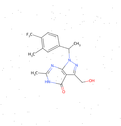 Cc1nc2c(c(CO)nn2C(C)c2ccc(C(F)(F)F)c(C)c2)c(=O)[nH]1